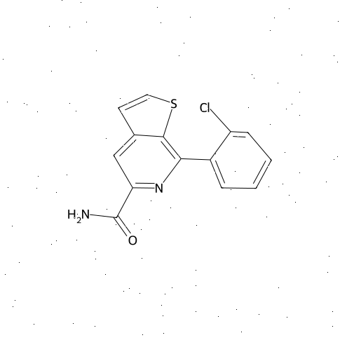 NC(=O)c1cc2ccsc2c(-c2ccccc2Cl)n1